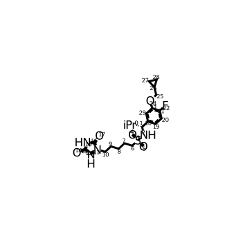 CC(C)[C@@H](NS(=O)(=O)CCCCCn1[nH]c(=O)[nH]c1=O)c1ccc(F)c(OCC2CC2)c1